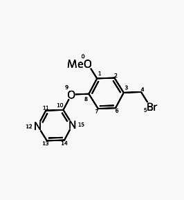 COc1cc(CBr)ccc1Oc1cnccn1